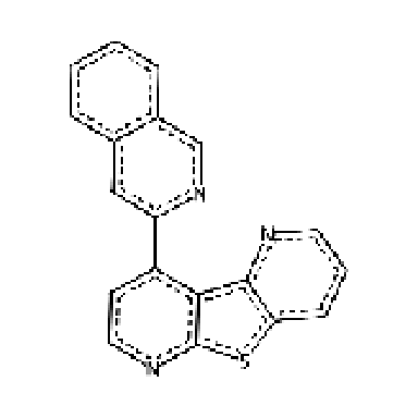 c1ccc2cc(-c3ccnc4sc5cccnc5c34)ncc2c1